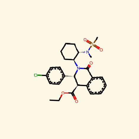 CCOC(=O)[C@@H]1c2ccccc2C(=O)N([C@H]2CCCC[C@@H]2N(C)S(C)(=O)=O)[C@H]1c1ccc(Cl)cc1